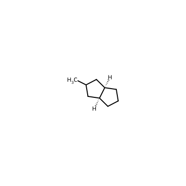 CC1C[C@H]2CCC[C@H]2C1